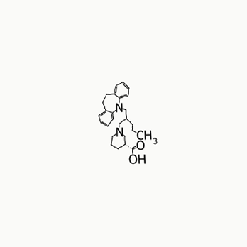 CCCC(CN1CCC[C@@H](C(=O)O)C1)CN1c2ccccc2CCc2ccccc21